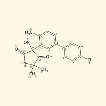 Cc1ccc(-c2ccc(Cl)cc2)cc1C1(N=O)C(=O)NC(C)(C)C1=O